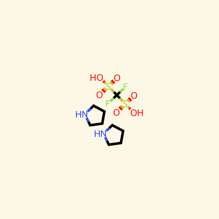 C1CCNC1.C1CCNC1.O=S(=O)(O)C(F)(F)S(=O)(=O)O